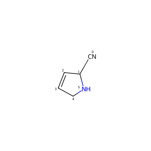 N#CC1C=CCN1